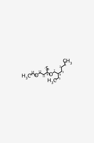 CCCCC(CC)COC([S])CCOCC